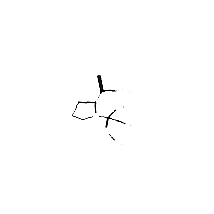 COC(=O)[C@@H]1CCCN1C(C)(O)OC(C)(C)C